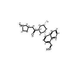 C[C@@H]1C[C@H](c2ccc(C=N)c3ncccc23)CN(C(=O)CC2CCN(C)C2)C1